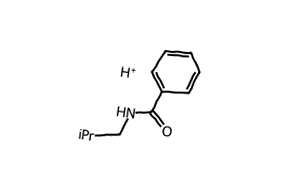 [CH2]C(C)CNC(=O)c1ccccc1.[H+]